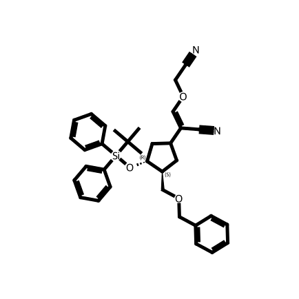 CC(C)(C)[Si](O[C@@H]1CC(C(C#N)=COCC#N)C[C@H]1COCc1ccccc1)(c1ccccc1)c1ccccc1